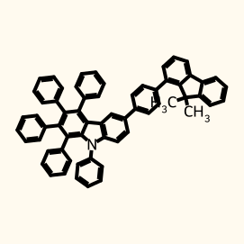 CC1(C)c2ccccc2-c2cccc(-c3ccc(-c4ccc5c(c4)c4c(-c6ccccc6)c(-c6ccccc6)c(-c6ccccc6)c(-c6ccccc6)c4n5-c4ccccc4)cc3)c21